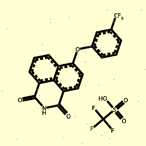 O=C1NC(=O)c2ccc(Oc3cccc(C(F)(F)F)c3)c3cccc1c23.O=S(=O)(O)C(F)(F)F